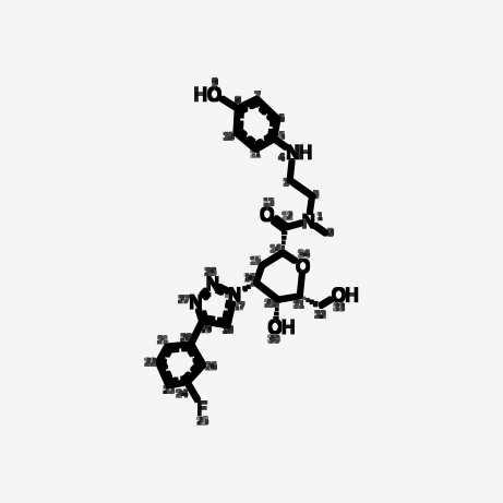 CN(CCNc1ccc(O)cc1)C(=O)[C@H]1C[C@@H](n2cc(-c3cccc(F)c3)nn2)[C@@H](O)[C@@H](CO)O1